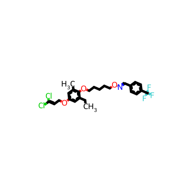 CCc1cc(OCC=C(Cl)Cl)cc(C)c1OCCCCCO/N=C/c1ccc(C(F)(F)F)cc1